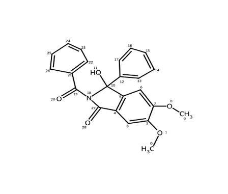 COc1cc2c(cc1OC)C(O)(c1ccccc1)N(C(=O)c1ccccc1)C2=O